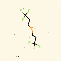 FC(F)(F)CCPCCC(F)(F)F